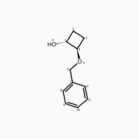 O[C@@H]1CC[C@H]1OCc1ccccc1